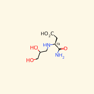 NC(=O)[C@H](CC(=O)O)NCC(O)CO